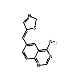 Nc1ncnc2ccc(C=C3C=NCS3)cc12